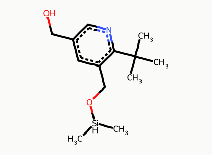 C[SiH](C)OCc1cc(CO)cnc1C(C)(C)C